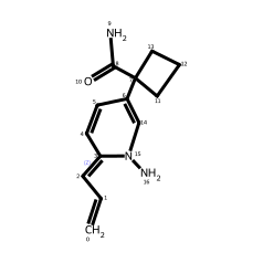 C=C/C=C1/C=CC(C2(C(N)=O)CCC2)=CN1N